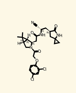 CC1(C)[C@@H]2[C@@H](CC(=O)N[C@H](C#N)C[C@@H]3CC4(CC4)NC3=O)N(C(=O)COc3ccc(Cl)cc3Cl)C[C@@H]21